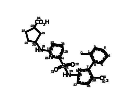 Cc1ccccc1-c1nc(NS(=O)(=O)c2cccc(NC3CCC(C(=O)O)C3)n2)ccc1C(F)(F)F